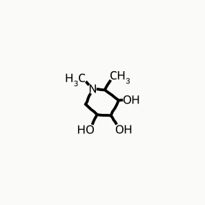 CC1C(O)C(O)C(O)CN1C